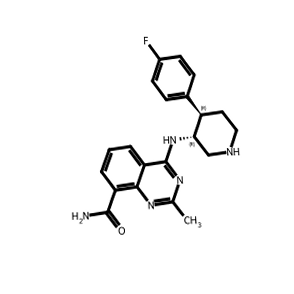 Cc1nc(N[C@H]2CNCC[C@@H]2c2ccc(F)cc2)c2cccc(C(N)=O)c2n1